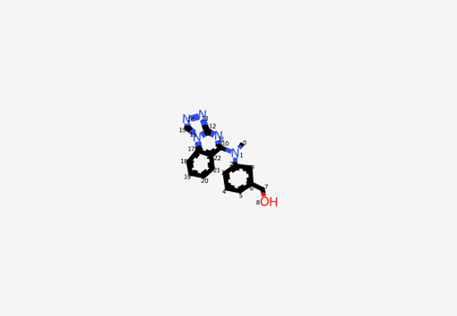 CN(c1cccc(CO)c1)c1nc2nncn2c2ccccc12